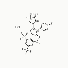 C[C@@H](O[C@H]1CC[C@@H](C2C[C@@](C)(N)C(=O)N2)[C@@H]1c1ccc(F)cc1)c1cc(C(F)(F)F)cc(C(F)(F)F)c1.Cl